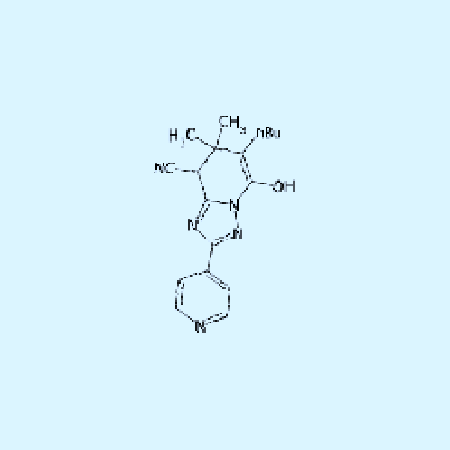 CCCCC1=C(O)n2nc(-c3ccncc3)nc2C(C#N)C1(C)C